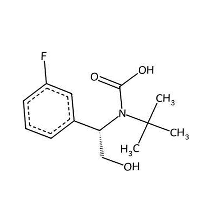 CC(C)(C)N(C(=O)O)[C@H](CO)c1cccc(F)c1